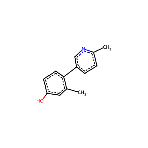 Cc1ccc(-c2ccc(O)cc2C)cn1